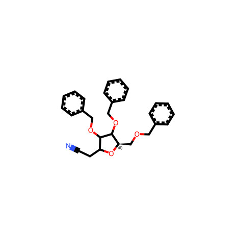 N#CCC1O[C@H](COCc2ccccc2)C(OCc2ccccc2)C1OCc1ccccc1